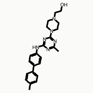 Cc1ccc(-c2ccc(Nc3nc(C)nc(N4CCN(CCO)CC4)n3)cc2)cc1